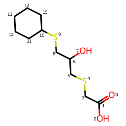 O=C(O)CSCC(O)CSC1CCCCC1